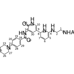 CC(=O)NCCNC1=CC=CC(c2c[nH]c(=O)c(NC(=O)c3ccc(N4CCCCC4)cc3)c2)N1